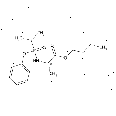 CCCCOC(=O)[C@H](C)NP(=O)(Oc1ccccc1)C(C)C